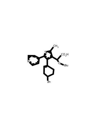 Cc1sc(-c2ccncc2)c(C2=CCC(C(C)C)CC2)c1C(OC(C)(C)C)C(=O)O